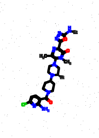 CCNc1nnc(-c2nc(C)c(N3CCN(C4CCN(C(=O)c5ccc(Cl)nc5N)CC4)[C@@H](CC)C3)n(C)c2=O)o1